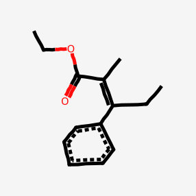 CCOC(=O)C(C)=C(CC)c1ccccc1